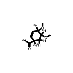 [2H]C(=O)C1([2H])C=CC([2H])(OC)C([2H])(OC)C1([2H])[2H]